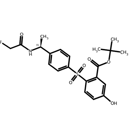 C[C@H](NC(=O)CF)c1ccc(S(=O)(=O)c2ccc(O)cc2C(=O)OC(C)(C)C)cc1